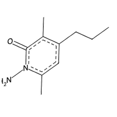 CCCc1cc(C)n(N)c(=O)c1C